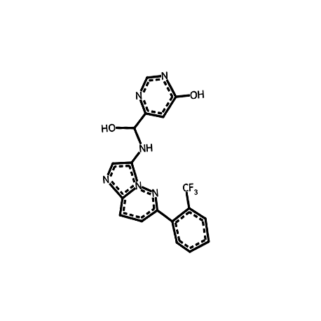 Oc1cc(C(O)Nc2cnc3ccc(-c4ccccc4C(F)(F)F)nn23)ncn1